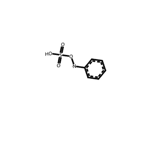 O=S(=O)(O)O[N]c1ccccc1